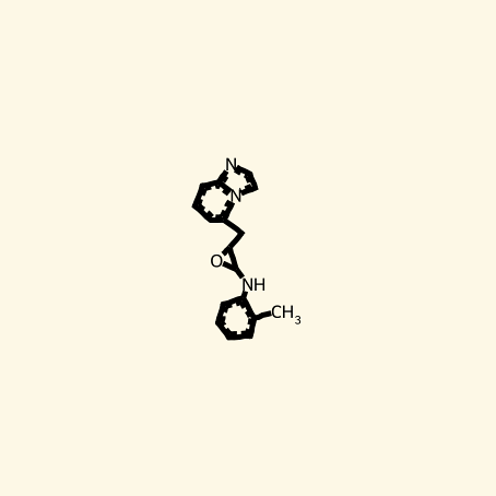 Cc1ccccc1NC1OC1Cc1cccc2nccn12